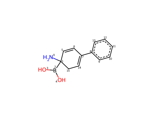 NC1(B(O)O)C=CC(c2ccccc2)=CC1